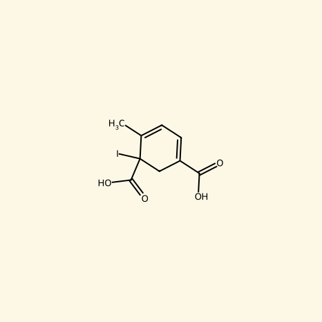 CC1=CC=C(C(=O)O)CC1(I)C(=O)O